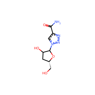 NC(=O)c1cn(C2O[C@H](CO)CC2O)nn1